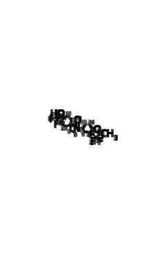 CC(Oc1ccc(N2CCC3(CCC(O)(C(F)(F)F)CC3)C2=O)cc1)C(F)(F)F